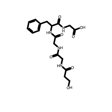 O=C(O)CNC(=O)C(Cc1ccccc1)NC(=O)CNC(=O)CNC(=O)CCO